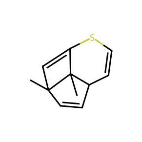 CC12C=CC3C=CSC(=C1)C32C